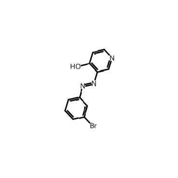 Oc1ccncc1N=Nc1cccc(Br)c1